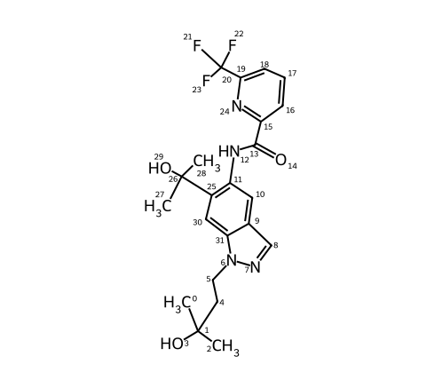 CC(C)(O)CCn1ncc2cc(NC(=O)c3cccc(C(F)(F)F)n3)c(C(C)(C)O)cc21